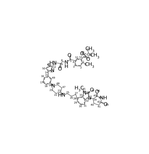 Cc1ccc(C(=O)NCC(=O)Nc2nc(-c3cccc(N4CCC(NCCCc5cccc6c5n(C)c(=O)n6C5CCC(=O)NC5=O)CC4)c3)cs2)cc1S(=O)(=O)C(C)C